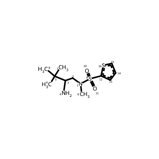 CN(CC(N)C(C)(C)C)S(=O)(=O)c1cccs1